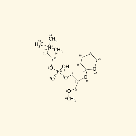 COCC(COP(=O)(O)OCC[N+](C)(C)C)OC1CCCCO1